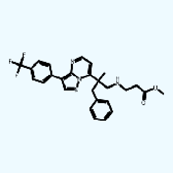 COC(=O)CCNCC(C)(Cc1ccccc1)c1ccnc2c(-c3ccc(C(F)(F)F)cc3)cnn12